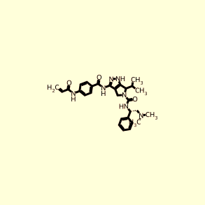 C=CC(=O)Nc1ccc(C(=O)Nc2n[nH]c3c2CN(C(=O)N[C@H](CN(C)C)c2ccccc2)C3C(C)C)cc1